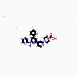 O=C(O)N1CCN(c2cc(-c3cc(-c4ccccc4)cc(Nc4cnccn4)n3)ccn2)CC1